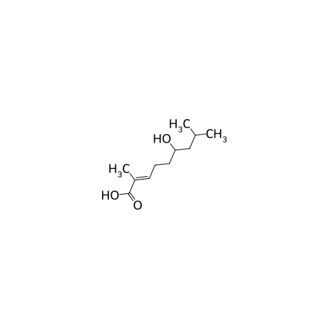 C/C(=C\CCC(O)CC(C)C)C(=O)O